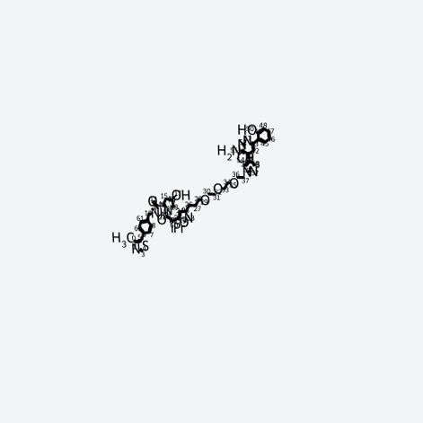 Cc1ncsc1-c1ccc(CNC(=O)[C@@H]2C[C@@H](O)CN2C(=O)[C@@H](c2cc(CCCOCCOCCOCCn3cc(C4C=C(c5ccccc5O)N=NC4(C)N)cn3)no2)C(C)C)cc1